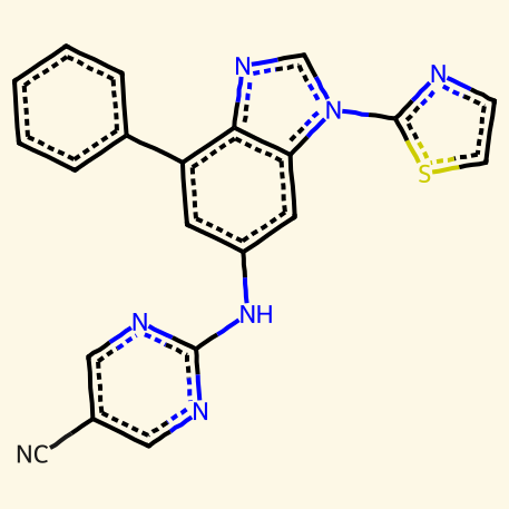 N#Cc1cnc(Nc2cc(-c3ccccc3)c3ncn(-c4nccs4)c3c2)nc1